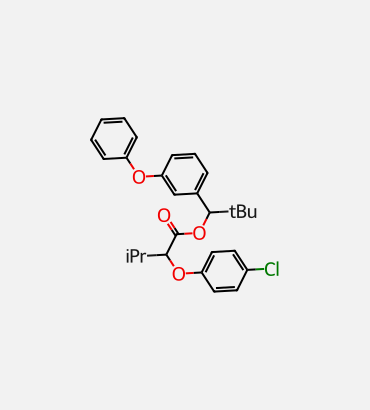 CC(C)C(Oc1ccc(Cl)cc1)C(=O)OC(c1cccc(Oc2ccccc2)c1)C(C)(C)C